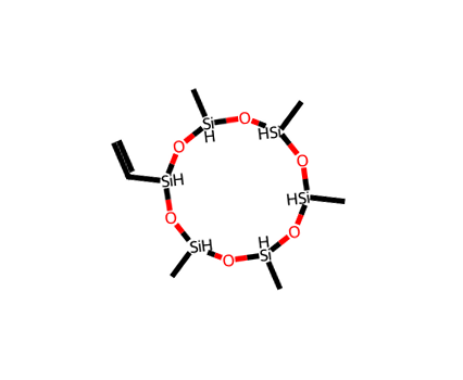 C=C[SiH]1O[SiH](C)O[SiH](C)O[SiH](C)O[SiH](C)O[SiH](C)O1